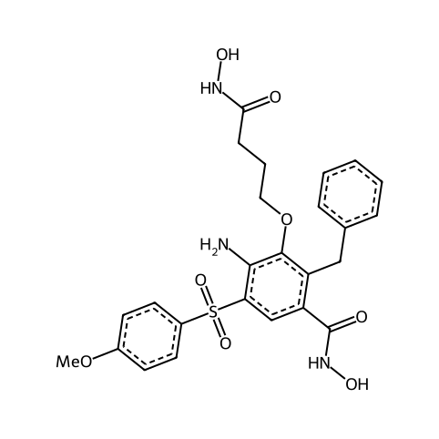 COc1ccc(S(=O)(=O)c2cc(C(=O)NO)c(Cc3ccccc3)c(OCCCC(=O)NO)c2N)cc1